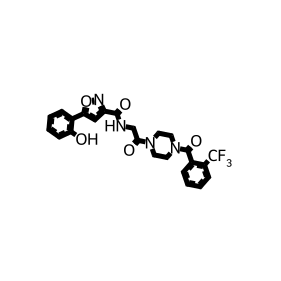 O=C(NCC(=O)N1CCN(C(=O)c2ccccc2C(F)(F)F)CC1)c1cc(-c2ccccc2O)on1